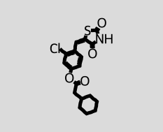 O=C(CC1CCCCC1)Oc1ccc(C=C2SC(=O)NC2=O)c(Cl)c1